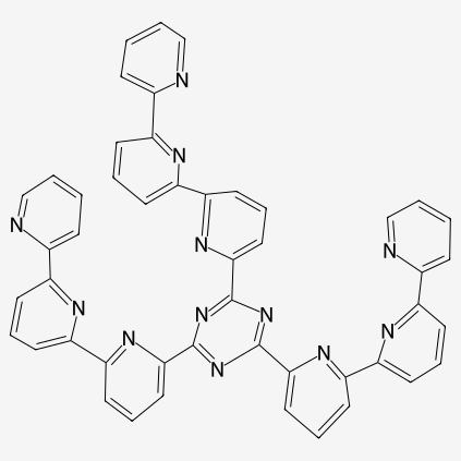 c1ccc(-c2cccc(-c3cccc(-c4nc(-c5cccc(-c6cccc(-c7ccccn7)n6)n5)nc(-c5cccc(-c6cccc(-c7ccccn7)n6)n5)n4)n3)n2)nc1